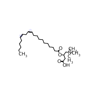 CCCCC/C=C\C/C=C\CCCCCCCCCC(=O)OC(CC(=O)O)C[N+](C)(C)C